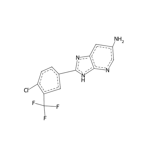 Nc1cnc2[nH]c(-c3ccc(Cl)c(C(F)(F)F)c3)nc2c1